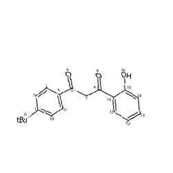 CC(C)(C)c1ccc(C(=O)CC(=O)c2ccccc2O)cc1